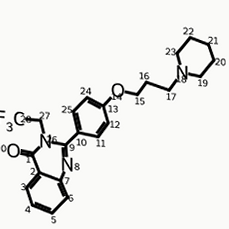 O=c1c2ccccc2nc(-c2ccc(OCCCN3CCCCC3)cc2)n1CC(F)(F)F